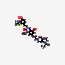 CC(C)(C)OC(=O)N(CCc1ccc(O)c2[nH]c(=O)sc12)Cc1ccc(OCCN2CCC3(CC2)CN(C(=O)C(F)(F)F)CCO3)cc1O